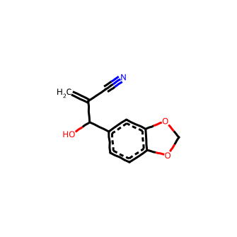 C=C(C#N)C(O)c1ccc2c(c1)OCO2